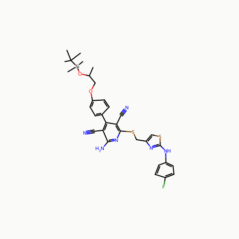 CC(COc1ccc(-c2c(C#N)c(N)nc(SCc3csc(Nc4ccc(F)cc4)n3)c2C#N)cc1)O[Si](C)(C)C(C)(C)C